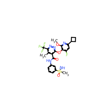 COc1nc(C2CCC2)cc(F)c1Oc1nnc(C(F)(F)F)c(C)c1C(=O)Nc1cccc(S(C)(=N)=O)c1